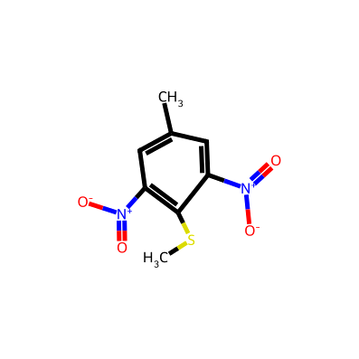 CSc1c([N+](=O)[O-])cc(C)cc1[N+](=O)[O-]